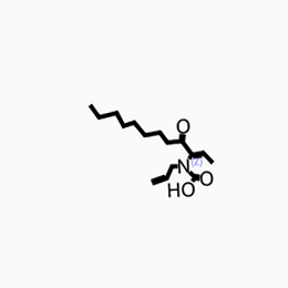 C=CCN(C(=O)O)/C(=C\C)C(=O)CCCCCCCC